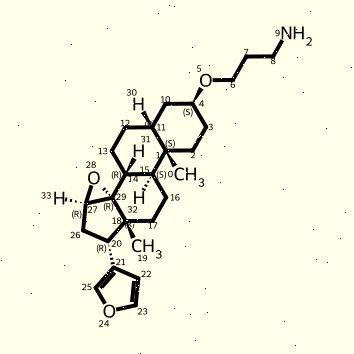 C[C@]12CC[C@H](OCCCN)C[C@H]1CC[C@@H]1[C@@H]2CC[C@]2(C)[C@H](c3ccoc3)C[C@H]3O[C@@]132